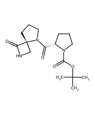 CC(C)(C)OC(=O)N1CCC[C@H]1C(=O)N1CCC[C@]12CNC2=O